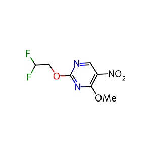 COc1nc(OCC(F)F)ncc1[N+](=O)[O-]